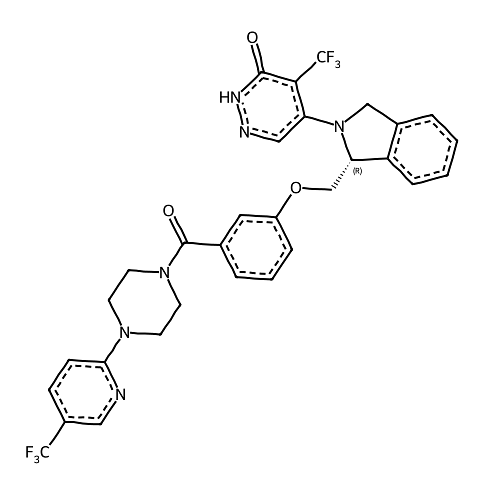 O=C(c1cccc(OC[C@H]2c3ccccc3CN2c2cn[nH]c(=O)c2C(F)(F)F)c1)N1CCN(c2ccc(C(F)(F)F)cn2)CC1